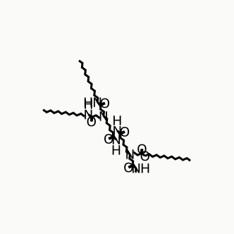 CCCCCCCCCCCCNC(=O)CCN(CCCCC1NC(=O)C(CCCCN(CCC(=O)NC)CCC(=O)OCCCCCCCCCCCC)NC1=O)CCC(=O)NCCCCCCCCCCCC